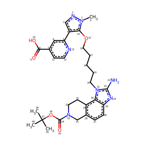 Cn1ncc(-c2cc(C(=O)O)ccn2)c1OCCCCCn1c(N)nc2ccc3c(c21)CCN(C(=O)OC(C)(C)C)C3